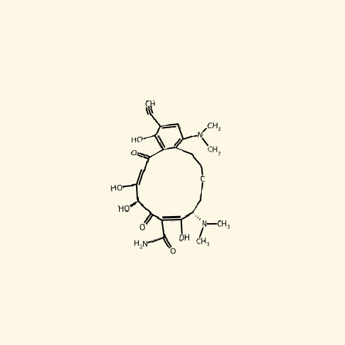 C#Cc1cc(N(C)C)c2c(c1O)C(=O)/C=C(\O)[C@H](O)C(=O)/C(C(N)=O)=C(/O)[C@@H](N(C)C)CCCC2